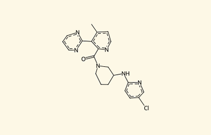 Cc1ccnc(C(=O)N2CCCC(Nc3ccc(Cl)cn3)C2)c1-c1ncccn1